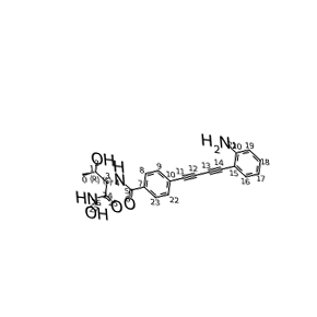 C[C@@H](O)[C@H](NC(=O)c1ccc(C#CC#Cc2ccccc2N)cc1)C(=O)NO